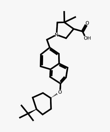 CC1(C)CN(Cc2ccc3cc(O[C@H]4CC[C@H](C(C)(C)C)CC4)ccc3c2)CC1C(=O)O